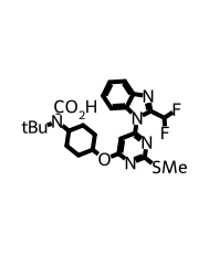 CSc1nc(OC2CCC(N(C(=O)O)C(C)(C)C)CC2)cc(-n2c(C(F)F)nc3ccccc32)n1